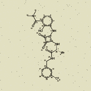 CC(C)[C@@H](Nc1c(Nc2cccc(C(=O)N(C)C)c2O)c(=O)c1=O)C(=O)NCc1cccc(C(F)(F)F)c1